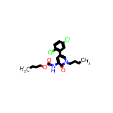 CCCCOC(=O)Nc1cc(-c2cc(Cl)ccc2Cl)cn(CCCC)c1=O